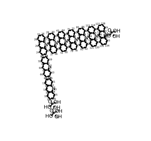 O=P(O)(O)O.O=P(O)(O)O.O=P(O)(O)O.c1ccc2nc3ccccc3cc2c1.c1ccc2nc3ccccc3cc2c1.c1ccc2nc3ccccc3cc2c1.c1ccc2nc3ccccc3cc2c1.c1ccc2nc3ccccc3cc2c1.c1ccc2nc3ccccc3cc2c1.c1ccc2nc3ccccc3cc2c1.c1ccc2nc3ccccc3cc2c1.c1ccc2nc3ccccc3cc2c1